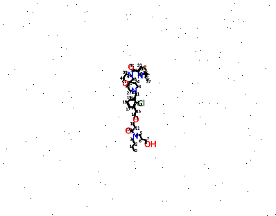 CCCCN(CCCO)C(=O)CCOCCc1cccc(CN2CCC3(CC2)CN(C(=O)c2csc(CC)n2)CCO3)c1Cl